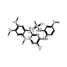 COc1ccc(Nc2nc(Nc3cc(OC)c(OC)cc3OC)ncc2Cl)c(NS(C)(=O)=O)c1